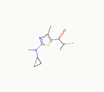 Cc1nc(N(C)C2CC2)sc1C(=O)C(C)C